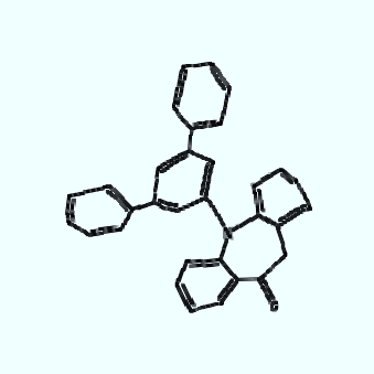 O=C1Cc2ccccc2N(c2cc(-c3ccccc3)cc(-c3ccccc3)c2)c2ccccc21